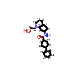 O=C(Nc1ccc2c(c1)N(CCO)CCC2)c1ccc(-c2ccccc2)cc1